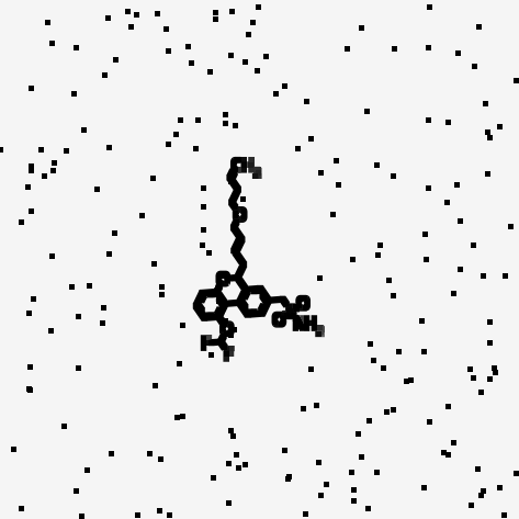 C=CCCOC/C=C/CC1Oc2cccc(OC(F)F)c2-c2ccc(CS(N)(=O)=O)cc21